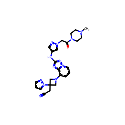 CN1CCN(C(=O)Cn2cc(Nc3nc4c(N5CC(CC#N)(n6cccn6)C5)cccn4n3)cn2)CC1